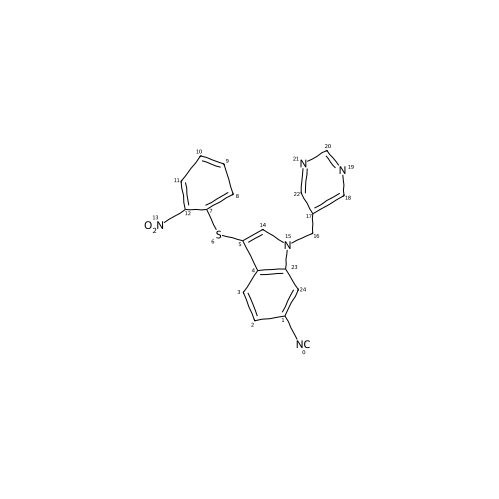 [C-]#[N+]c1ccc2c(Sc3ccccc3[N+](=O)[O-])cn(Cc3cncnc3)c2c1